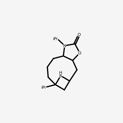 CC(C)N1C(=O)OC2CC3BC(C(C)C)(CCCC21)C3